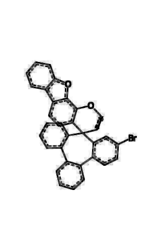 Brc1ccc2c(c1)C1(c3ccccc3Oc3c1ccc1c3oc3ccccc31)c1ccccc1-c1ccccc1-2